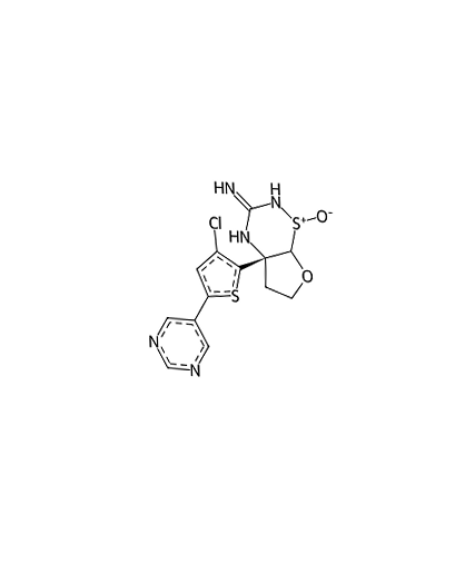 N=C1N[S+]([O-])C2OCC[C@]2(c2sc(-c3cncnc3)cc2Cl)N1